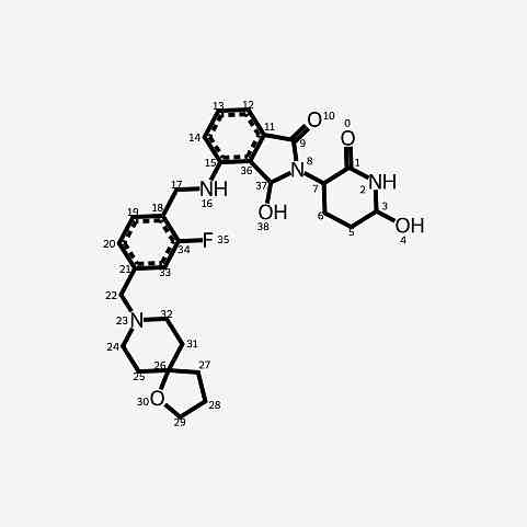 O=C1NC(O)CCC1N1C(=O)c2cccc(NCc3ccc(CN4CCC5(CCCO5)CC4)cc3F)c2C1O